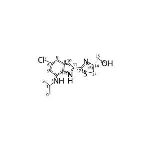 CC(C)Nc1cc(Cl)cc2cc(C3=N[C@H](CO)CS3)[nH]c12